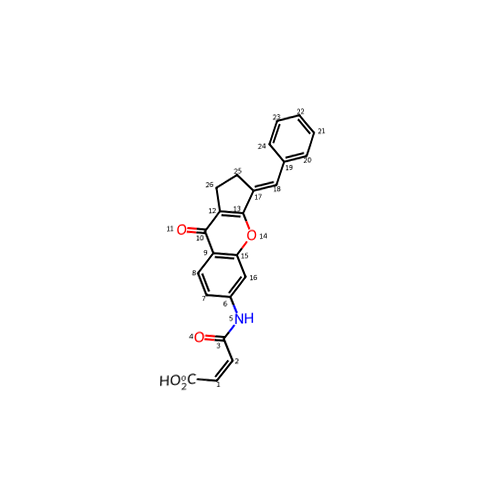 O=C(O)/C=C\C(=O)Nc1ccc2c(=O)c3c(oc2c1)/C(=C/c1ccccc1)CC3